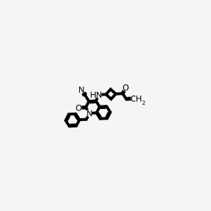 C=CC(=O)C1CC(Nc2c(C#N)c(=O)n(Cc3ccccc3)c3ccccc23)C1